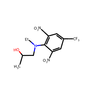 CCN(CC(C)O)c1c([N+](=O)[O-])cc(C(F)(F)F)cc1[N+](=O)[O-]